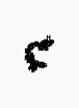 C[C@H](Oc1cc(-c2nn(C)c3c(-c4cnn(C5CCN(C[C@H]6C[C@H](Nc7cccc8c7C(=O)N(C7CCC(=O)NC7=O)C8=O)C6)CC5)c4)cnc(N)c23)ccc1NS(=O)(=O)C(F)F)c1ccc(F)cc1